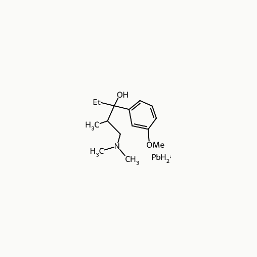 CCC(O)(c1cccc(OC)c1)C(C)CN(C)C.[PbH2]